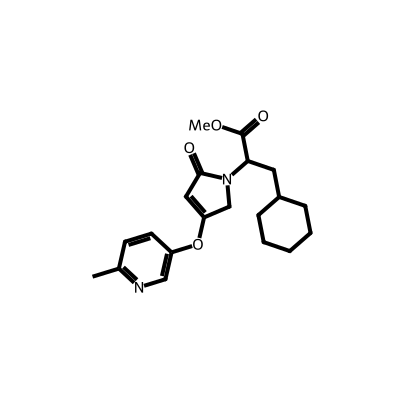 COC(=O)C(CC1CCCCC1)N1CC(Oc2ccc(C)nc2)=CC1=O